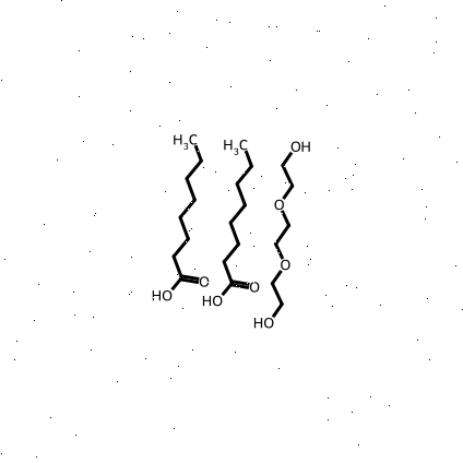 CCCCCCCC(=O)O.CCCCCCCC(=O)O.OCCOCCOCCO